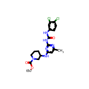 Cc1cc(NC2CCCN(C(=O)OC(C)(C)C)C2)nc(NC(=O)Nc2ccc(Cl)c(Cl)c2)n1